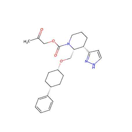 CC(=O)COC(=O)N1CCC[C@H](c2cc[nH]n2)[C@@H]1CO[C@H]1CC[C@@H](c2ccccc2)CC1